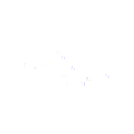 CCN(C(=O)C(CS(=O)(=O)CC1CC1(F)F)=NOC)c1cn(-c2cccnc2)nc1Cl